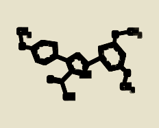 COc1ccc(-c2cc(-c3cc(OC)cc(OC)c3)[nH]c2C(=O)O)cc1